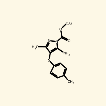 Cc1ccc(Sc2c(C)nn(C(=O)OC(C)(C)C)c2N)cc1